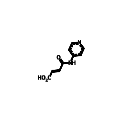 O=C(O)/C=C/C(=O)Nc1ccncc1